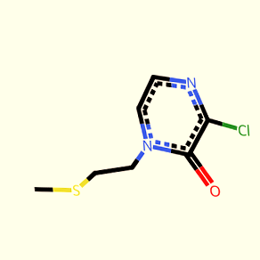 CSCCn1ccnc(Cl)c1=O